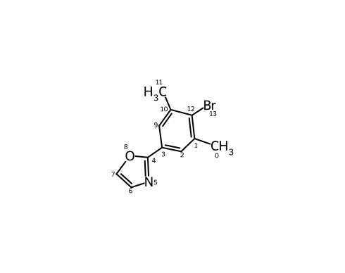 Cc1cc(-c2ncco2)cc(C)c1Br